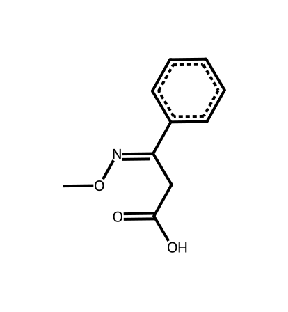 CO/N=C(\CC(=O)O)c1ccccc1